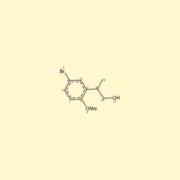 COc1ccc(Br)cc1[C](C)CO